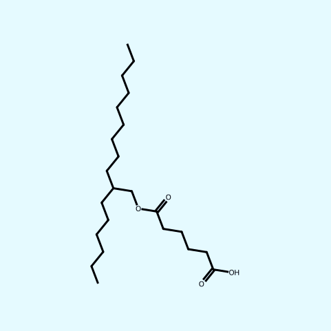 CCCCCCCCCC(CCCCCC)COC(=O)CCCCC(=O)O